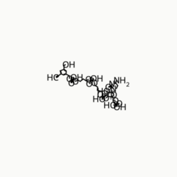 C#Cc1cc(CO)cc(COP(=O)(O)OCCCCOP(=O)(O)OCCCCOP(=O)(O)OC2C(O)[C@H](N3CCC(N)=NC3=O)O[C@@H]2COP(=O)(O)O)c1